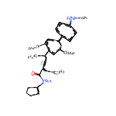 COc1cc(-c2ccc(NC(C)C)cc2)c(OC)cc1/C(C)=C(\C)C(=O)NC1CCCC1